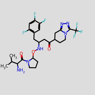 CC(C)C(N)C(=O)N1CCCC1ONC(CC(=O)C1CCn2c(nnc2C(F)(F)F)C1)Cc1cc(F)c(F)cc1F